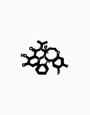 CC(C)N1C(=O)c2c(O)c(=O)ccn2N2[C@@H](c3ccccc3)c3cc(F)c(F)cc3OCC[C@H]12